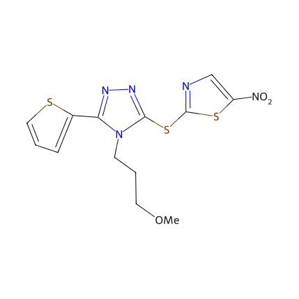 COCCCn1c(Sc2ncc([N+](=O)[O-])s2)nnc1-c1cccs1